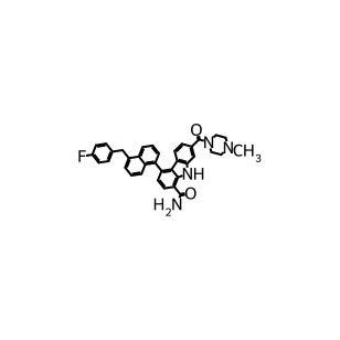 CN1CCN(C(=O)c2ccc3c(c2)[nH]c2c(C(N)=O)ccc(-c4cccc5c(Cc6ccc(F)cc6)cccc45)c23)CC1